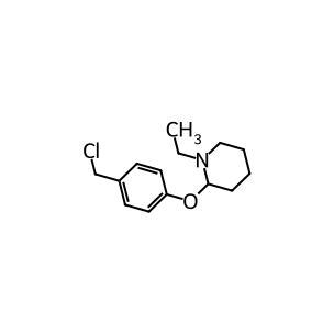 CCN1CCCCC1Oc1ccc(CCl)cc1